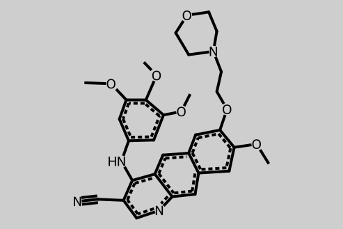 COc1cc2cc3ncc(C#N)c(Nc4cc(OC)c(OC)c(OC)c4)c3cc2cc1OCCN1CCOCC1